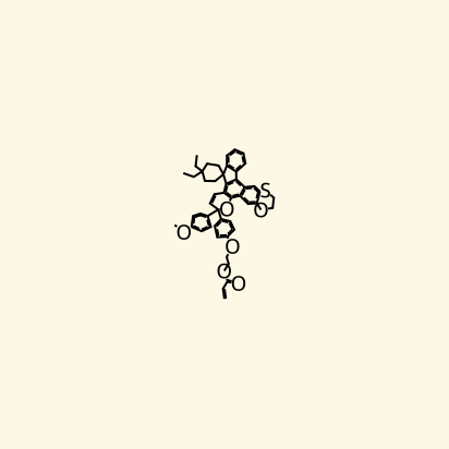 C=CC(=O)OCCOc1ccc(C2(c3ccc(OC)cc3)C=Cc3c4c(c5cc6c(cc5c3O2)OCCS6)-c2ccccc2C42CCC(CC)(CC)CC2)cc1